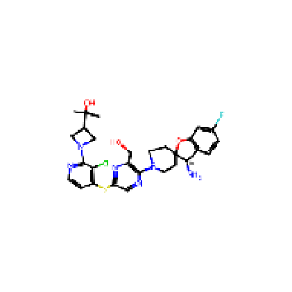 CC(C)(O)C1CN(c2nccc(Sc3cnc(N4CCC5(CC4)Oc4cc(F)ccc4[C@H]5N)c(CO)n3)c2Cl)C1